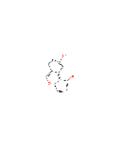 OC1=CC=CC2OC=c3ccc(O)cc3=C12